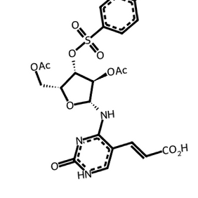 CC(=O)OC[C@H]1O[C@@H](Nc2nc(=O)[nH]cc2C=CC(=O)O)[C@H](OC(C)=O)[C@H]1OS(=O)(=O)c1ccc(C)cc1